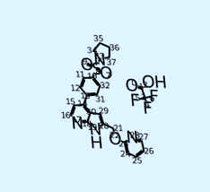 O=C(O)C(F)(F)F.O=S(=O)(c1ccc(-c2ccnc3[nH]c(COc4ccccn4)cc23)cc1)N1CCCC1